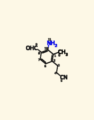 Cc1c(CCC#N)ccc(C=O)c1N